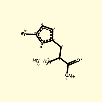 COC(=O)C(N)Cc1ccc(C(C)C)s1.Cl